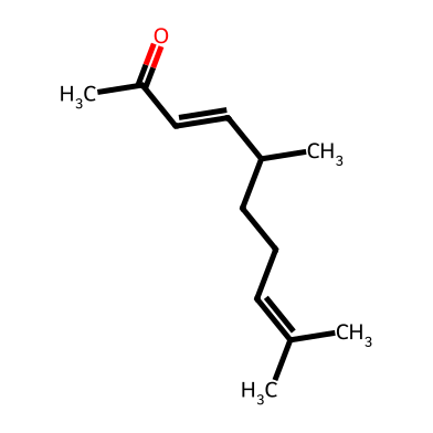 CC(=O)C=CC(C)CCC=C(C)C